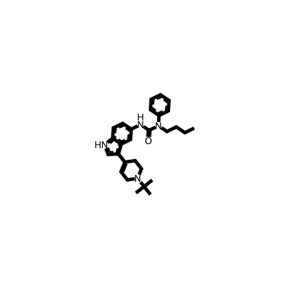 CCCCN(C(=O)Nc1ccc2[nH]cc(C3=CCN(C(C)(C)C)CC3)c2c1)c1ccccc1